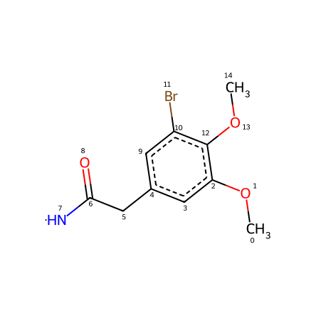 COc1cc(CC([NH])=O)cc(Br)c1OC